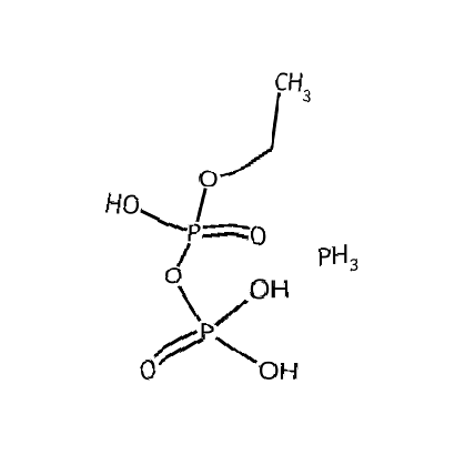 CCOP(=O)(O)OP(=O)(O)O.P